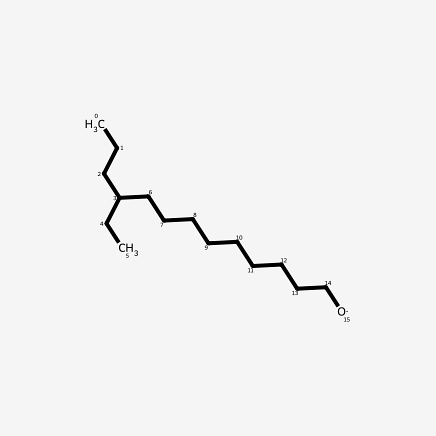 CCCC(CC)CCCCCCCCC[O]